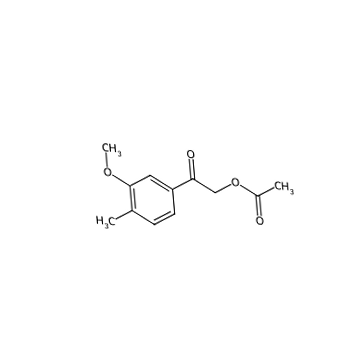 COc1cc(C(=O)COC(C)=O)ccc1C